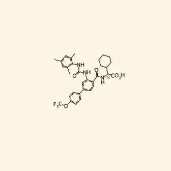 Cc1cc(C)c(NC(=O)Nc2cc(-c3ccc(OC(F)(F)F)cc3)ccc2C(=O)N[C@H](C(=O)O)C2CCCCC2)c(C)c1